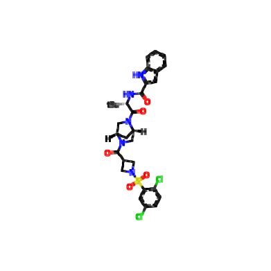 CC(C)(C)[C@H](NC(=O)c1cc2ccccc2[nH]1)C(=O)N1C[C@@H]2C[C@H]1CN2C(=O)C1CN(S(=O)(=O)c2cc(Cl)ccc2Cl)C1